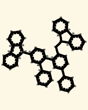 c1ccc(-c2ccc(CC3c4ccccc4-c4ccccc43)c(-c3ccc(-n4c5ccccc5c5ccccc54)cc3-c3ccccc3)c2)cc1